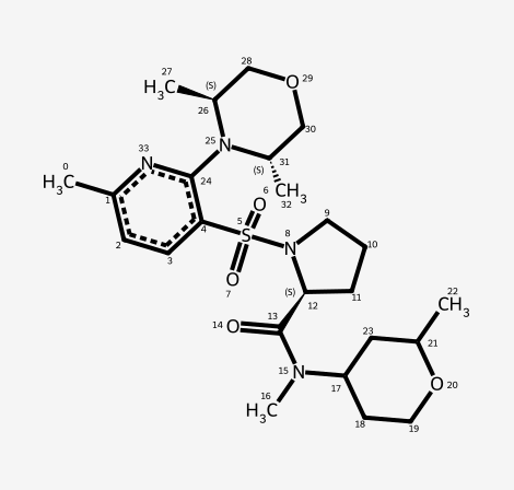 Cc1ccc(S(=O)(=O)N2CCC[C@H]2C(=O)N(C)C2CCOC(C)C2)c(N2[C@@H](C)COC[C@@H]2C)n1